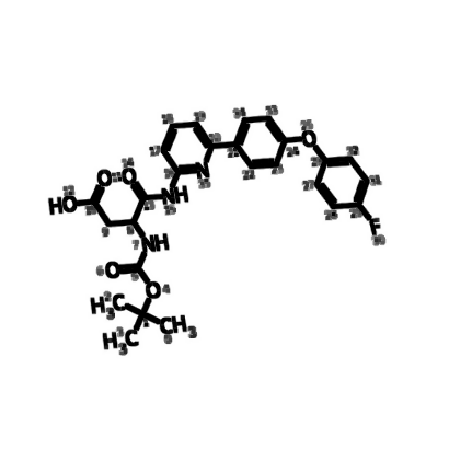 CC(C)(C)OC(=O)NC(CC(=O)O)C(=O)Nc1cccc(-c2ccc(Oc3ccc(F)cc3)cc2)n1